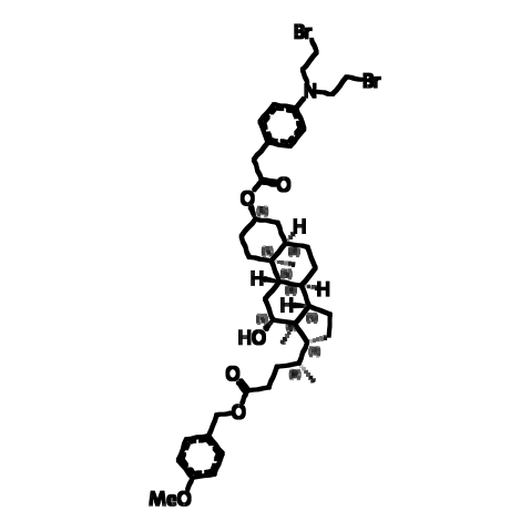 COc1ccc(COC(=O)CC[C@@H](C)[C@H]2CC[C@H]3[C@@H]4CC[C@@H]5C[C@H](OC(=O)Cc6ccc(N(CCBr)CCBr)cc6)CC[C@]5(C)[C@H]4C[C@H](O)[C@]23C)cc1